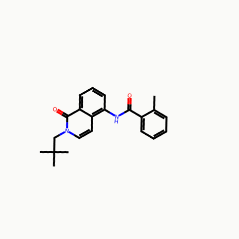 Cc1ccccc1C(=O)Nc1cccc2c(=O)n(CC(C)(C)C)ccc12